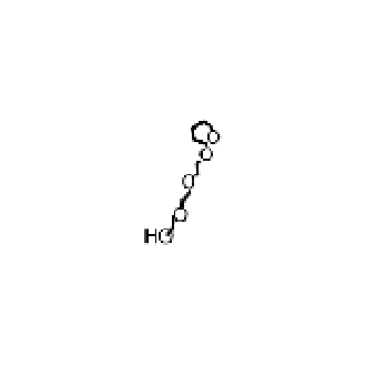 OCCOCCOCCOC1CCCCO1